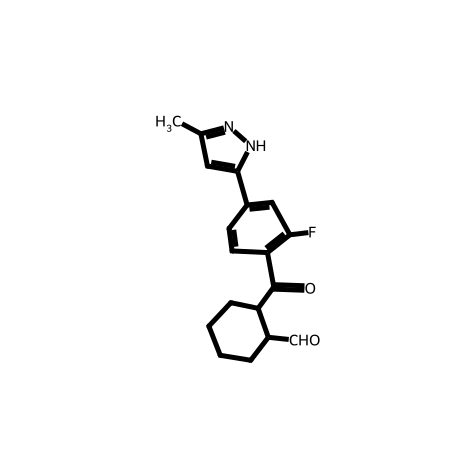 Cc1cc(-c2ccc(C(=O)C3CCCCC3C=O)c(F)c2)[nH]n1